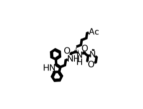 CC(=O)CCCCC[C@H](NC(=O)C1COCCN1C)C(=O)NCCc1c(-c2ccccc2)[nH]c2ccccc12